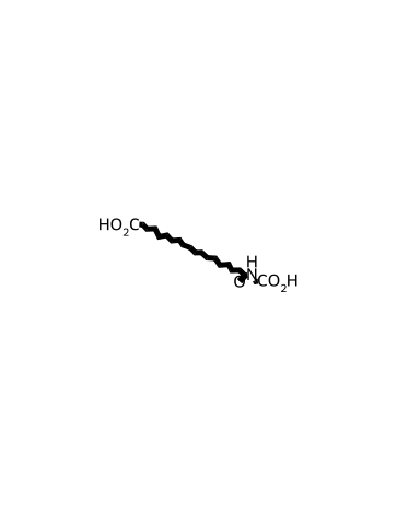 O=C(O)CCCCCCCCCCCCCCCCCC(=O)NCC(=O)O